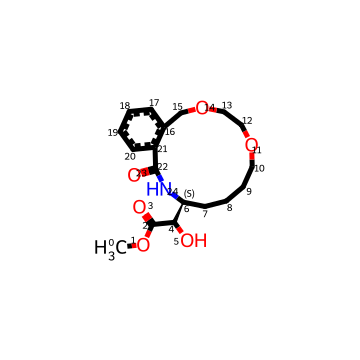 COC(=O)C(O)[C@@H]1CCCCOCCOCc2ccccc2C(=O)N1